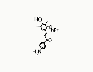 CCCOc1c(C=CC(=O)c2ccc(N)cc2)cc(C)c(O)c1C